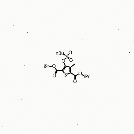 CCCCS(=O)(=O)Oc1c(C(=O)OC(C)C)sc(C(=O)OC(C)C)c1C